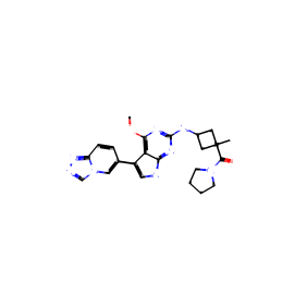 COc1nc(NC2CC(C)(C(=O)N3CCCC3)C2)nc2[nH]cc(-c3ccc4nncn4c3)c12